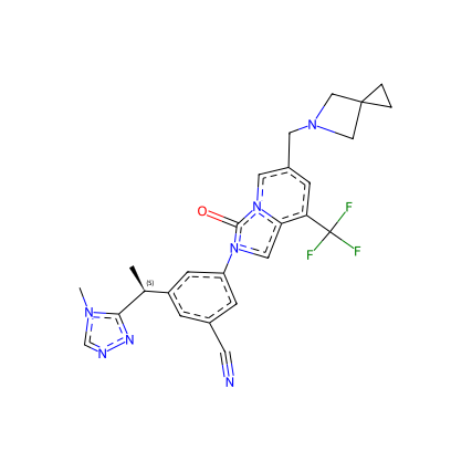 C[C@@H](c1cc(C#N)cc(-n2cc3c(C(F)(F)F)cc(CN4CC5(CC5)C4)cn3c2=O)c1)c1nncn1C